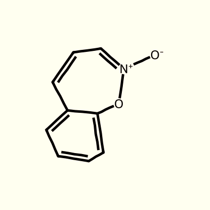 [O-][N+]1=CC=Cc2ccccc2O1